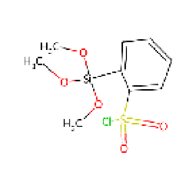 CO[Si](OC)(OC)c1ccccc1S(=O)(=O)Cl